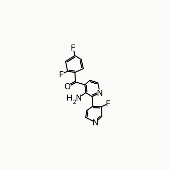 Nc1c(C(=O)c2ccc(F)cc2F)ccnc1-c1ccncc1F